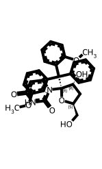 COc1cccc(C(c2ccccc2)(c2ccccc2OC)[C@@]2(n3ccc(=O)[nH]c3=O)O[C@H](CO)C[C@H]2O)c1